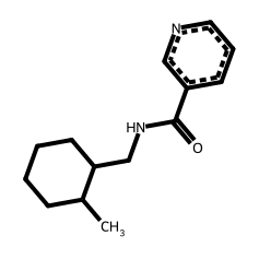 CC1CCCCC1CNC(=O)c1cccnc1